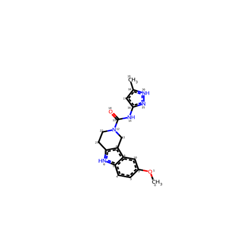 COc1ccc2[nH]c3c(c2c1)CN(C(=O)Nc1cc(C)[nH]n1)CC3